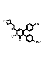 COc1ccc(-c2c(-c3ccc(C#N)cc3)nc(NCC3CNC3)n(C)c2=O)cc1